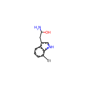 CCc1cccc2c(CC(N)O)c[nH]c12